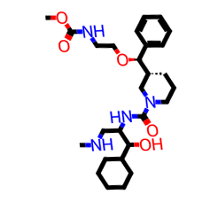 CNCC(NC(=O)N1CCC[C@@H]([C@@H](OCCNC(=O)OC)c2ccccc2)C1)C(O)C1CCCCC1